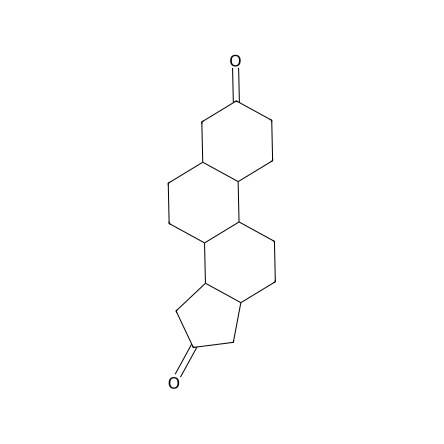 O=C1CCC2C(CCC3C4CC(=O)CC4CCC23)C1